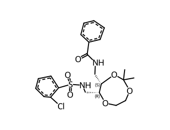 CC1(C)OCCO[C@H](CNS(=O)(=O)c2ccccc2Cl)[C@H](CNC(=O)c2ccccc2)O1